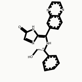 O=C1C=NC(=C(N[C@@H](CO)c2ccccc2)c2ccc3nccnc3c2)N1